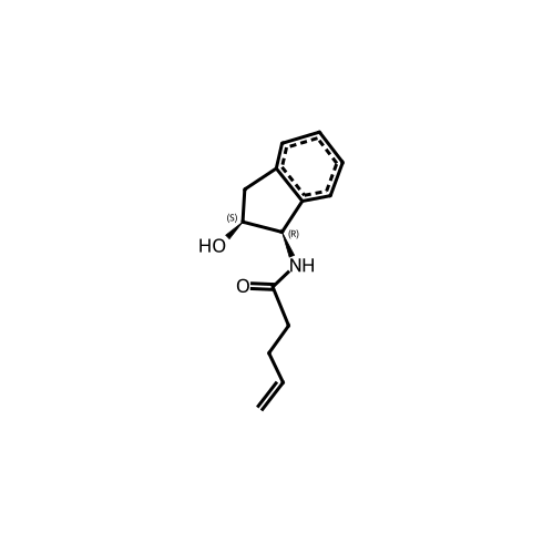 C=CCCC(=O)N[C@@H]1c2ccccc2C[C@@H]1O